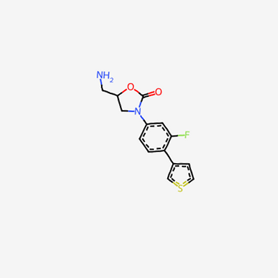 NCC1CN(c2ccc(-c3ccsc3)c(F)c2)C(=O)O1